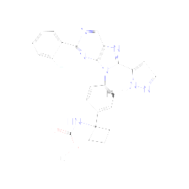 Cn1nccc1-c1nc2cnc(-c3ccccc3F)nc2n1-c1ccc(C2(NC(=O)OC(C)(C)C)CCC2)cc1